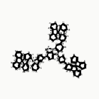 c1ccc2c(c1)-c1ccccc1C21c2ccccc2-c2ccc(-c3ccc(N(c4ccc(-c5ccc6c(c5)C5(c7ccccc7-c7ccccc75)c5ccccc5-6)cc4)c4ccc(-c5ccc6c(c5)c5ccccc5n6-c5cccc6c5-c5ccccc5C65c6ccccc6-c6ccccc65)c5nsnc45)cc3)cc21